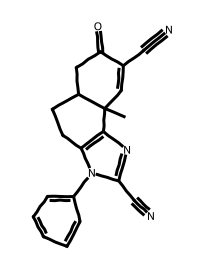 CC12C=C(C#N)C(=O)CC1CCc1c2nc(C#N)n1-c1ccccc1